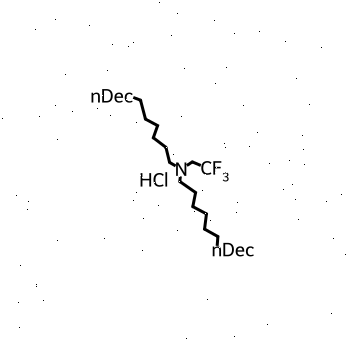 CCCCCCCCCCCCCCCCN(CCCCCCCCCCCCCCCC)CC(F)(F)F.Cl